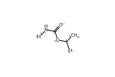 C[CH]NC(=O)OC(C)CC